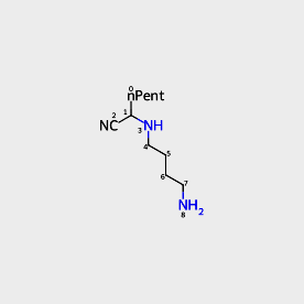 CCCCCC(C#N)NCCCCN